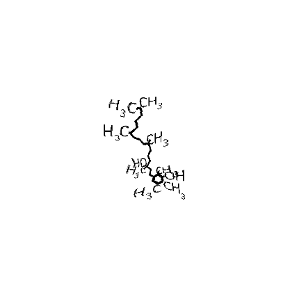 Cc1cc(CCC(C)(O)CCCC(C)CCCC(C)CCCC(C)C)c(C)c(O)c1C